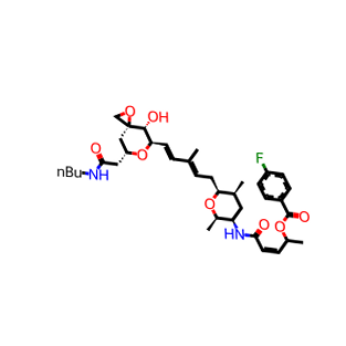 CCCCNC(=O)C[C@@H]1C[C@@]2(CO2)[C@H](O)[C@@H](/C=C/C(C)=C/C[C@@H]2O[C@H](C)[C@H](NC(=O)/C=C\C(C)OC(=O)c3ccc(F)cc3)C[C@@H]2C)O1